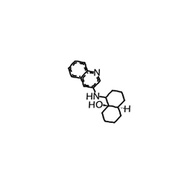 O[C@]12CCCC[C@@H]1CCCC2Nc1cnc2ccccc2c1